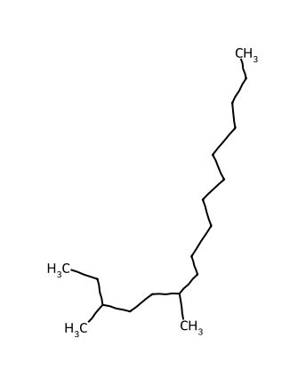 CCCCCCCCCCC(C)CCC(C)CC